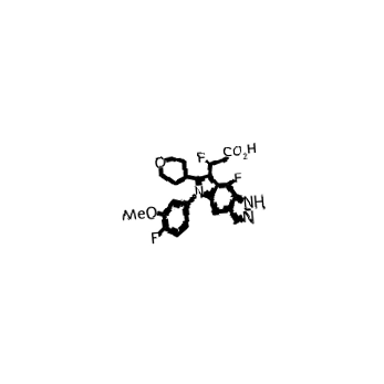 COc1cc(-n2c(C3CCOCC3)c([C@@H](F)CC(=O)O)c3c(F)c4[nH]ncc4cc32)ccc1F